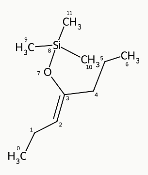 CCC=C(CCC)O[Si](C)(C)C